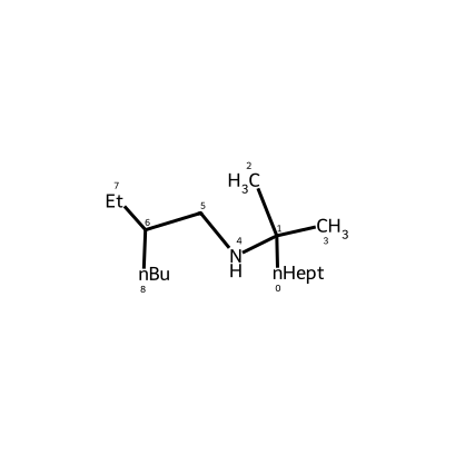 CCCCCCCC(C)(C)NCC(CC)CCCC